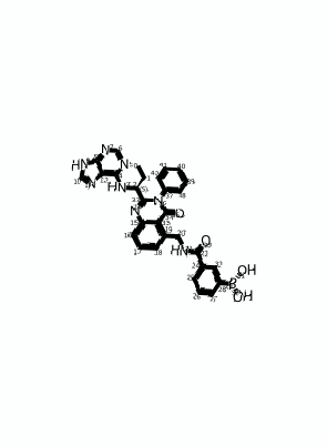 CC[C@H](Nc1ncnc2[nH]cnc12)c1nc2cccc(CNC(=O)c3cccc(B(O)O)c3)c2c(=O)n1-c1ccccc1